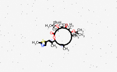 C/C1=C/CC(/C(C)=C/c2cnc(C)s2)OC(=O)CC(O[Si](C)(C)C(C)(C)C)C(C)(C)C(=O)C(C)C(O[Si](C)(C)C(C)(C)C)C(C)CCC1